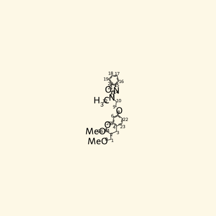 COCC(Cc1ccc(OCCN(C)c2nc3ccccc3o2)cc1)C(=O)OC